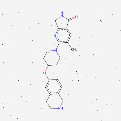 Cc1cc2c(nc1N1CCC(Oc3ccc4c(c3)CCNC4)CC1)CNC2=O